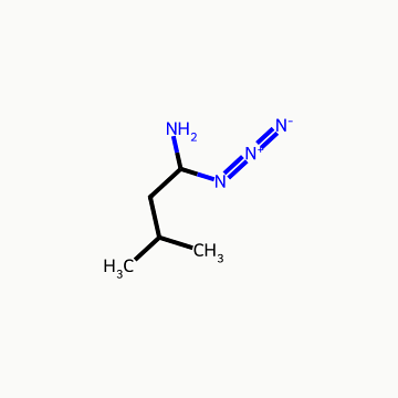 CC(C)CC(N)N=[N+]=[N-]